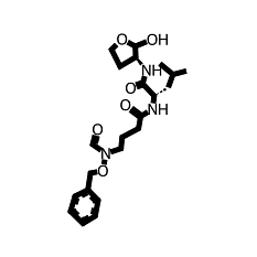 CC(C)C[C@H](NC(=O)CCCN(C=O)OCc1ccccc1)C(=O)N[C@H]1CCOC1O